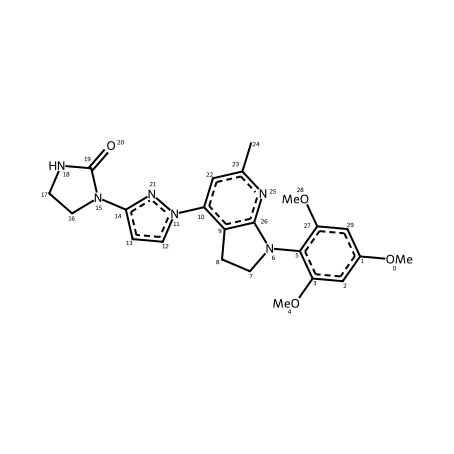 COc1cc(OC)c(N2CCc3c(-n4ccc(N5CCNC5=O)n4)cc(C)nc32)c(OC)c1